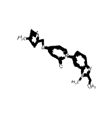 CCc1nc2ccc(-n3ccc(OCc4cc(C)cs4)cc3=O)cc2n1C